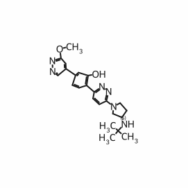 COc1cc(-c2ccc(-c3ccc(N4CC[C@H](NC(C)(C)C)C4)nn3)c(O)c2)cnn1